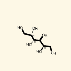 OC[C@@H](O)C(O)[C@H](O)[C@@H](O)CO